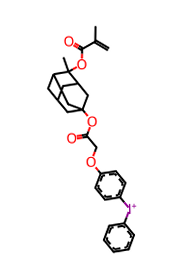 C=C(C)C(=O)OC1(C)C2CC3CC1CC(OC(=O)COc1ccc([I+]c4ccccc4)cc1)(C3)C2